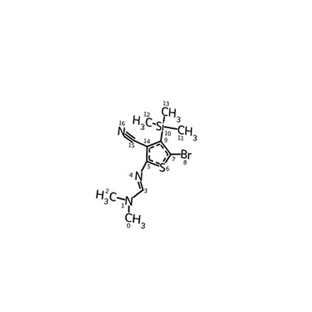 CN(C)C=Nc1sc(Br)c([Si](C)(C)C)c1C#N